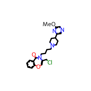 COc1cncc(C2CCN(CCCCN3C(=O)c4ccccc4OC=C3CCl)CC2)n1